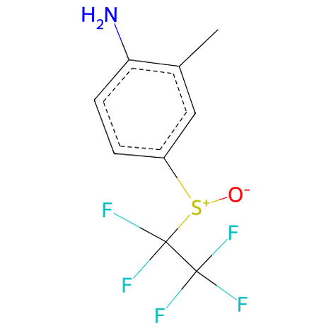 Cc1cc([S+]([O-])C(F)(F)C(F)(F)F)ccc1N